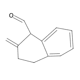 C=C1CCc2ccccc2C1C=O